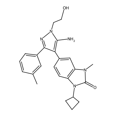 Cc1cccc(-c2nn(CCO)c(N)c2-c2ccc3c(c2)n(C)c(=O)n3C2CCC2)c1